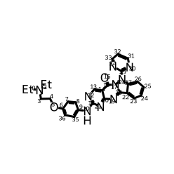 CCN(CC)CCOc1ccc(Nc2ncc3c(=O)n4c(nc3n2)c2ccccc2n4-c2ncccn2)cc1